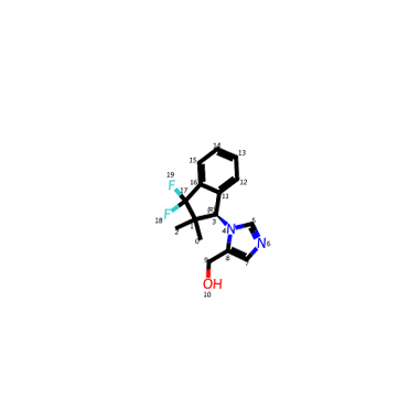 CC1(C)[C@H](n2cncc2CO)c2ccccc2C1(F)F